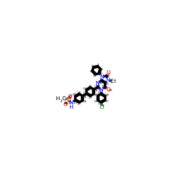 CCn1c(=O)n(-c2ccccc2)c2nc(-c3ccc(-c4ccc(NS(C)(=O)=O)cc4)cc3)n(-c3ccc(Cl)cc3)c(=O)c21